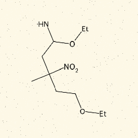 CCOCCC(C)(CC([NH])OCC)[N+](=O)[O-]